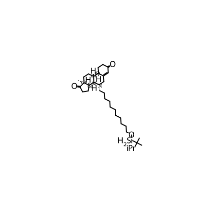 CC(C)C(C)(C)[SiH2]OCCCCCCCCCCC[C@H]1CC2=CC(=O)CC[C@@H]2[C@H]2CC[C@]3(C)C(=O)CC[C@H]3[C@H]12